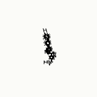 INCc1ccc2c(-c3cnn4cc(-c5ccc(N6CCNCC6)cc5)cnc34)ccnc2c1